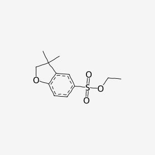 CCOS(=O)(=O)c1ccc2c(c1)C(C)(C)CO2